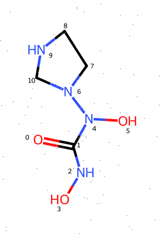 O=C(NO)N(O)N1CCNC1